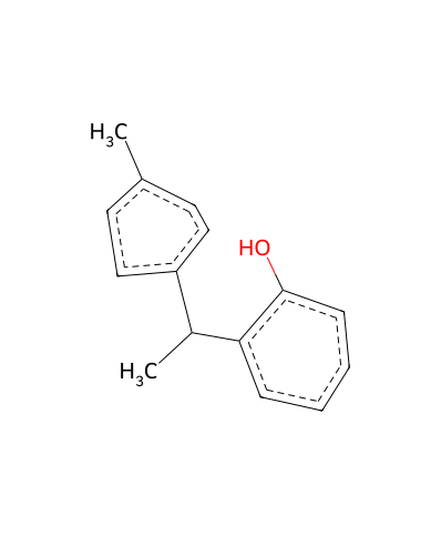 Cc1ccc(C(C)c2ccccc2O)cc1